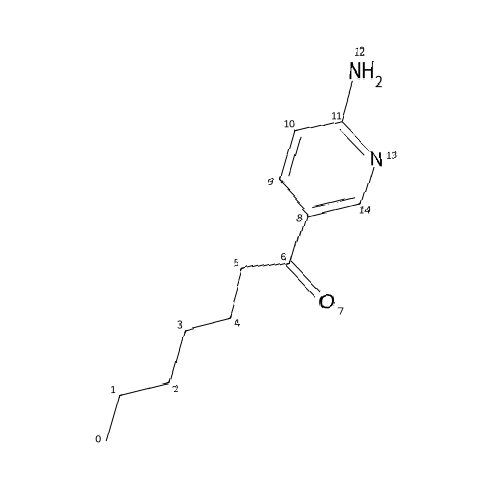 CCCCCCC(=O)c1ccc(N)nc1